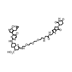 Cn1ncc(-c2nc(NC3CCC(N(CC(=O)NCCOCCOCCOCCNCC(=O)NCc4cc5c(s4)C(=O)N(C4CCC(=O)NC4=O)C5)C(=O)O)CC3)ncc2Cl)c1CC1CC1